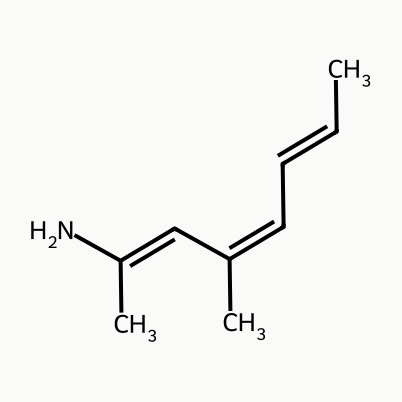 C/C=C/C=C(C)\C=C(/C)N